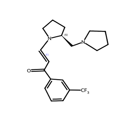 O=C(/C=C/N1CCC[C@H]1CN1CCCC1)c1cccc(C(F)(F)F)c1